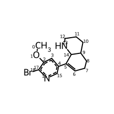 COc1cc(C2=CCCC3CCCNC23)cnc1Br